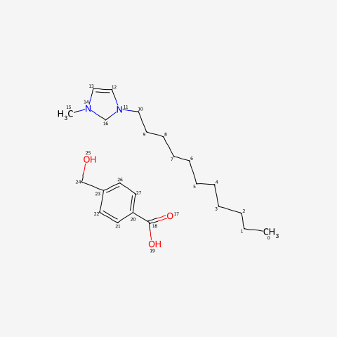 CCCCCCCCCCCN1C=CN(C)C1.O=C(O)c1ccc(CO)cc1